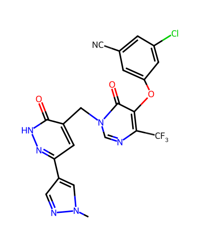 Cn1cc(-c2cc(Cn3cnc(C(F)(F)F)c(Oc4cc(Cl)cc(C#N)c4)c3=O)c(=O)[nH]n2)cn1